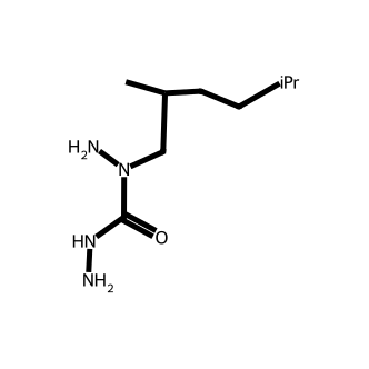 CC(C)CCC(C)CN(N)C(=O)NN